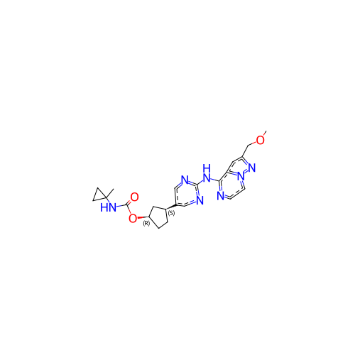 COCc1cc2c(Nc3ncc([C@H]4CC[C@@H](OC(=O)NC5(C)CC5)C4)cn3)nccn2n1